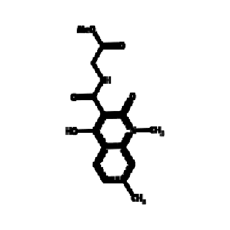 COC(=O)CNC(=O)c1c(O)c2ccc(C)cc2n(C)c1=O